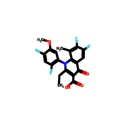 CCc1c(C(=O)O)c(=O)c2cc(F)c(F)c(C)c2n1-c1cc(OC)c(F)cc1F